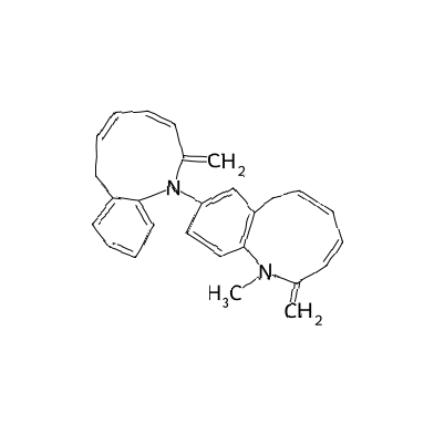 C=C1/C=C\C=C/Cc2cc(N3C(=C)/C=C\C=C/Cc4ccccc43)ccc2N1C